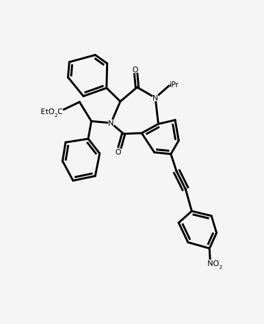 CCOC(=O)CC(c1ccccc1)N1C(=O)c2cc(C#Cc3ccc([N+](=O)[O-])cc3)ccc2N(C(C)C)C(=O)C1c1ccccc1